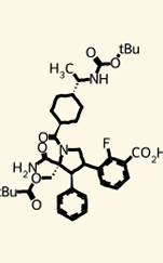 CC(NC(=O)OC(C)(C)C)[C@H]1CC[C@H](C(=O)N2CC(c3cccc(C(=O)O)c3F)[C@@H](c3ccccc3)[C@@]2(COC(=O)C(C)(C)C)C(N)=O)CC1